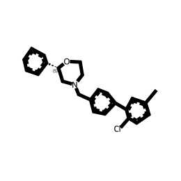 Cc1ccc(Cl)c(-c2ccc(CN3CCO[C@@H](c4ccccc4)C3)cc2)c1